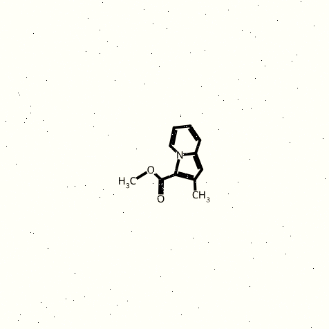 COC(=O)c1c(C)cc2ccccn12